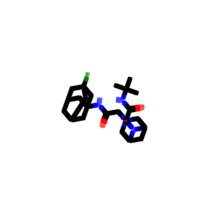 CC(C)(C)NC(=O)CN1C2CC1CN(CC(=O)NC13CC4CC(CC(F)(C4)C1)C3)C2